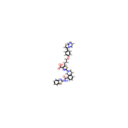 O=C(Nc1nc2ccccc2s1)c1cccc2c1CN(c1nc(C(=O)O)c(CCCOc3ccc(C4=CSC5=NCCN45)cc3)s1)CC2